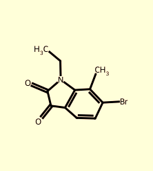 CCN1C(=O)C(=O)c2ccc(Br)c(C)c21